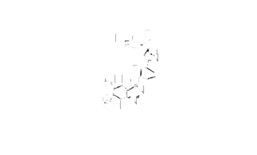 COc1cc2ncnc(Oc3cccc(-c4cc(C(C)(CF)CF)on4)c3F)c2cc1OC